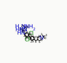 CC(C)(C)N1CCC(Cc2ccc(-c3c(Cl)cc(NC(=N)N=C(N)N)cc3Cl)cc2)CC1